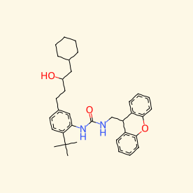 CC(C)(C)c1ccc(CCC(O)CC2CCCCC2)cc1NC(=O)NCC1c2ccccc2Oc2ccccc21